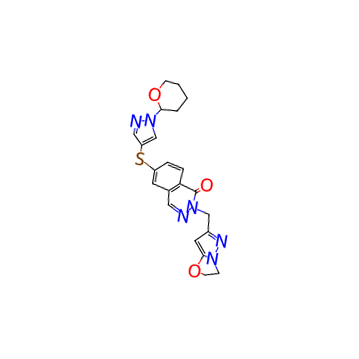 O=c1c2ccc(Sc3cnn(C4CCCCO4)c3)cc2cnn1Cc1cc2n(n1)CCO2